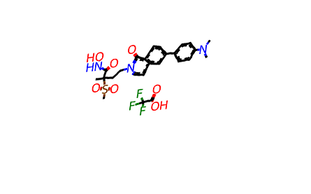 CN(C)c1ccc(-c2ccc3c(=O)n(CCC(C)(C(=O)NO)S(C)(=O)=O)ccc3c2)cc1.O=C(O)C(F)(F)F